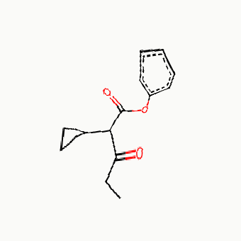 CCC(=O)C(C(=O)Oc1ccccc1)C1CC1